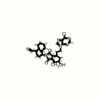 CC12OC(CCn3cnc4c(Cl)ncnc43)(CC1O)C1C(=O)N(c3ccc(C#N)c4ccccc34)C(=O)C12